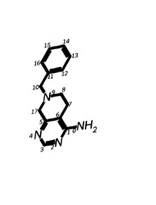 Nc1ncnc2c1CCN(Cc1ccccc1)C2